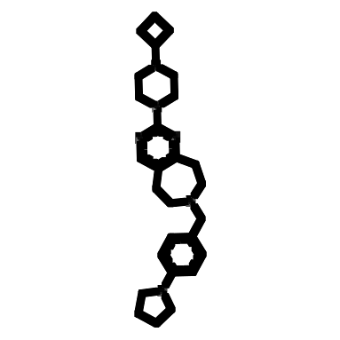 c1cc(N2CCCC2)ccc1CN1CCc2cnc(N3CCN(C4CCC4)CC3)nc2CC1